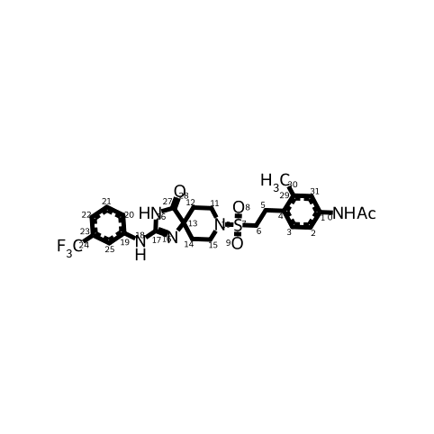 CC(=O)Nc1ccc(CCS(=O)(=O)N2CCC3(CC2)N=C(Nc2cccc(C(F)(F)F)c2)NC3=O)c(C)c1